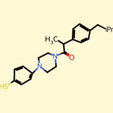 CC(C)Cc1ccc(C(C)C(=O)N2CCN(c3ccc(S)cc3)CC2)cc1